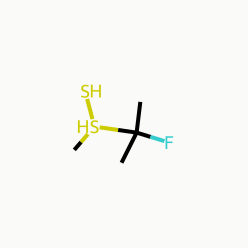 C[SH](S)C(C)(C)F